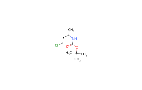 CC(CCCl)NC(=O)OC(C)(C)C